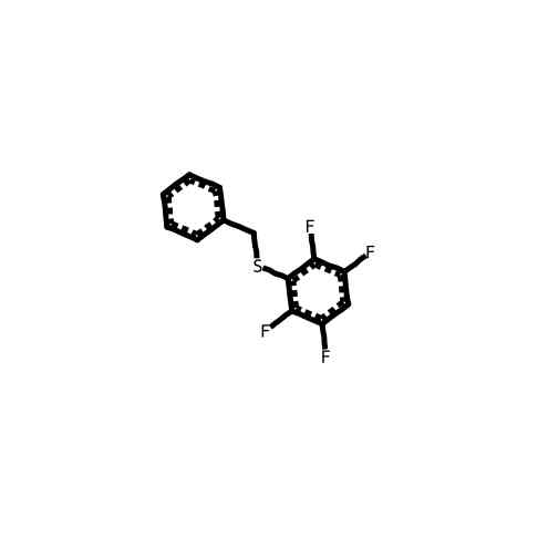 Fc1cc(F)c(F)c(SCc2ccccc2)c1F